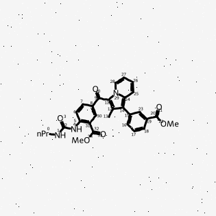 CCCNC(=O)Nc1ccc(C(=O)c2c(C)c(-c3cccc(C(=O)OC)c3)c3ccccn23)cc1C(=O)OC